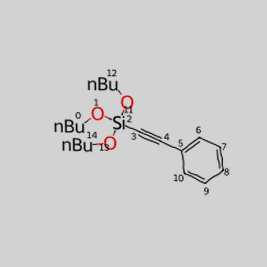 CCCCO[Si](C#Cc1ccccc1)(OCCCC)OCCCC